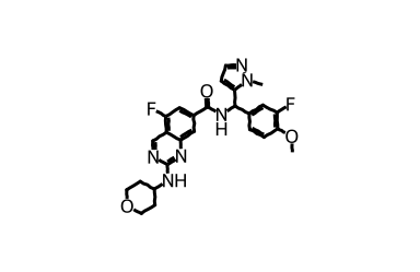 COc1ccc(C(NC(=O)c2cc(F)c3cnc(NC4CCOCC4)nc3c2)c2ccnn2C)cc1F